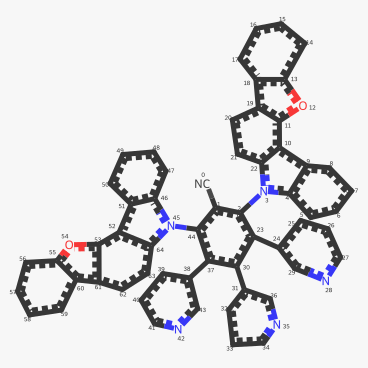 N#Cc1c(-n2c3ccccc3c3c4oc5ccccc5c4ccc32)c(-c2cccnc2)c(-c2cccnc2)c(-c2cccnc2)c1-n1c2ccccc2c2c3oc4ccccc4c3ccc21